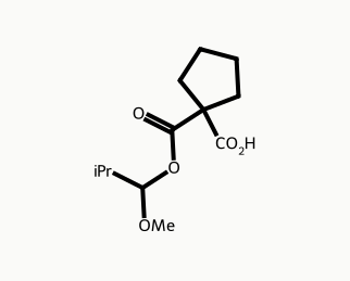 COC(OC(=O)C1(C(=O)O)CCCC1)C(C)C